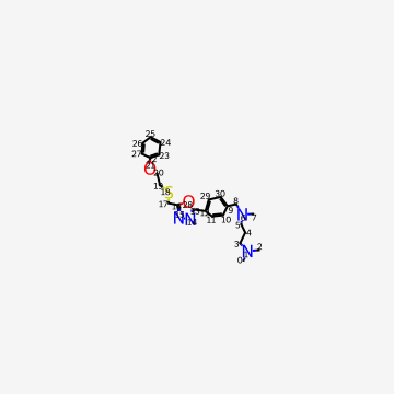 CN(C)CCCN(C)Cc1ccc(-c2nnc(CSCCOc3ccccc3)o2)cc1